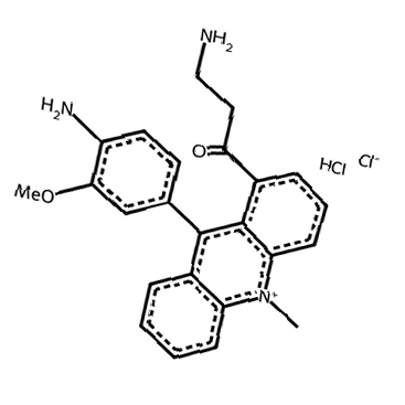 COc1cc(-c2c3ccccc3[n+](C)c3cccc(C(=O)CCN)c23)ccc1N.Cl.[Cl-]